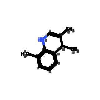 CC1=CNc2c(C)cccc2C1C